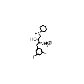 Cl.Cl.N[C@@H](Cc1cc(F)cc(F)c1)[C@H](O)CNC1CCCCC1